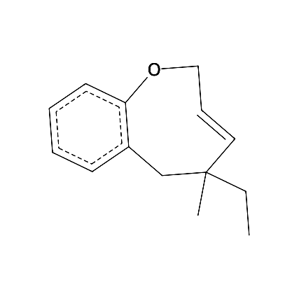 CCC1(C)/C=C/COc2ccccc2C1